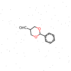 O=CC1COC(c2ccccc2)OC1